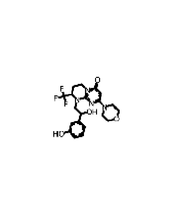 O=c1cc(N2CCOCC2)nc2n1CCC(C(F)(F)F)N2CC(O)c1cccc(O)c1